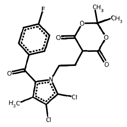 Cc1c(Cl)c(Cl)n(CCC2C(=O)OC(C)(C)OC2=O)c1C(=O)c1ccc(F)cc1